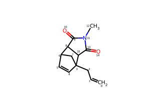 C=CCC12C=CC(C1)C1C(=O)N(C)C(=O)C12